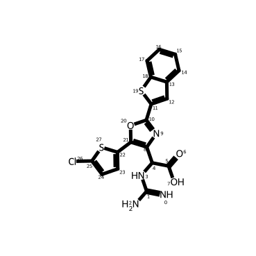 N=C(N)NC(C(=O)O)c1nc(-c2cc3ccccc3s2)oc1-c1ccc(Cl)s1